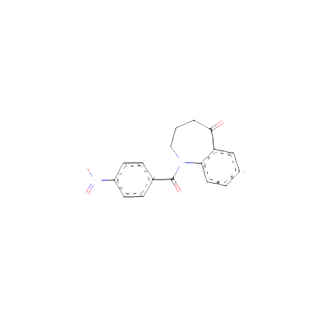 O=C1CCCN(C(=O)c2ccc([N+](=O)[O-])cc2)c2ccccc21